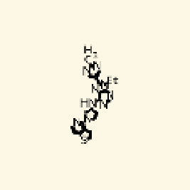 CCn1c(-c2cnc(C)nc2)nc2c(NC3CCN(c4nccc5sccc45)C3)ncnc21